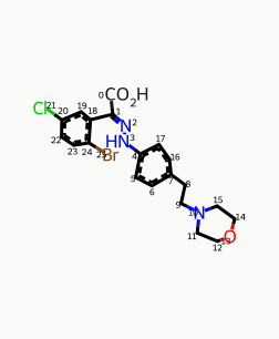 O=C(O)C(=NNc1ccc(CCN2CCOCC2)cc1)c1cc(Cl)ccc1Br